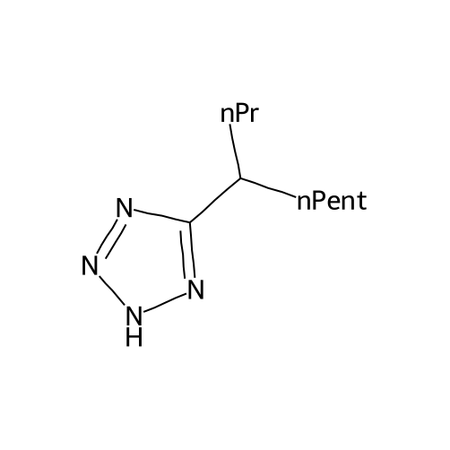 CCCCCC(CCC)c1nn[nH]n1